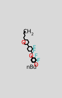 C=CCCC1CCC(C2CCC(COc3ccc(OCCCC)c(F)c3F)C(F)(F)C2)CO1